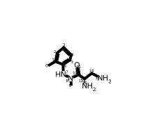 Cc1ccccc1NN(C)C(=O)[C@@H](N)CN